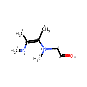 C=N/C(C)=C(/C)N(C)CC=O